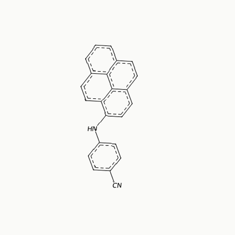 N#Cc1ccc(Nc2ccc3ccc4cccc5ccc2c3c45)cc1